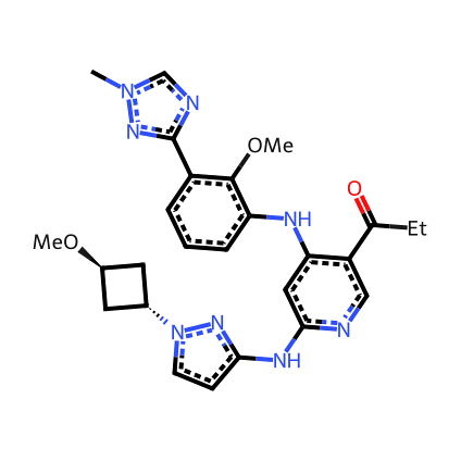 CCC(=O)c1cnc(Nc2ccn([C@H]3C[C@H](OC)C3)n2)cc1Nc1cccc(-c2ncn(C)n2)c1OC